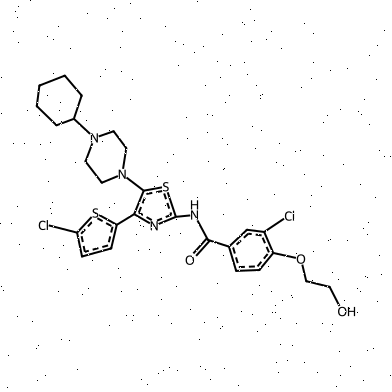 O=C(Nc1nc(-c2ccc(Cl)s2)c(N2CCN(C3CCCCC3)CC2)s1)c1ccc(OCCO)c(Cl)c1